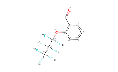 O=[C]c1ccccc1OC(F)(F)C(F)(F)C(F)(F)F